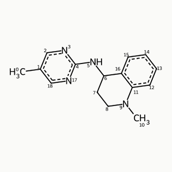 Cc1cnc(NC2CCN(C)c3ccccc32)nc1